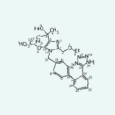 CCOCc1nc(C(C)(C)O)c(OC(=O)O)n1Cc1ccc(-c2ccccc2-c2nnn[nH]2)cc1